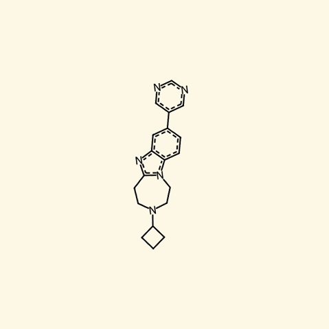 c1ncc(-c2ccc3c(c2)nc2n3CCN(C3CCC3)CC2)cn1